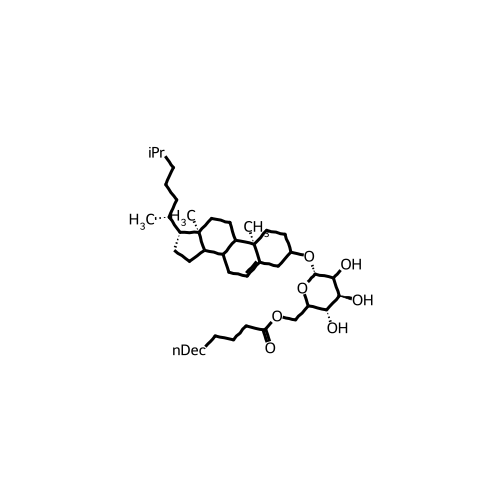 CCCCCCCCCCCCCC(=O)OCC1O[C@H](OC2CC[C@@]3(C)C(=CCC4C3CC[C@@]3(C)C4CC[C@@H]3[C@H](C)CCCC(C)C)C2)C(O)[C@@H](O)[C@@H]1O